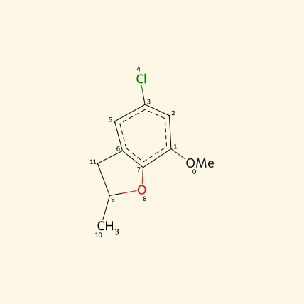 COc1cc(Cl)cc2c1OC(C)C2